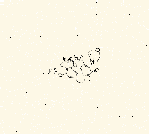 COc1cc2c(c(OC)c1OC)-c1cc(C)c(N3CCOCC3)c(=O)cc1CCC2